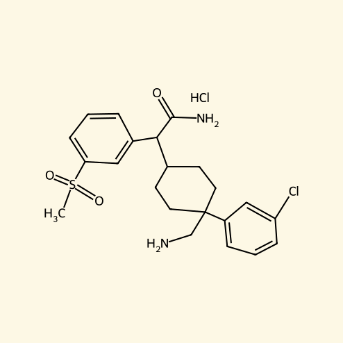 CS(=O)(=O)c1cccc(C(C(N)=O)C2CCC(CN)(c3cccc(Cl)c3)CC2)c1.Cl